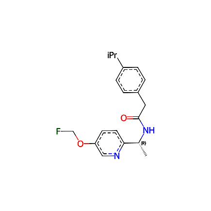 CC(C)c1ccc(CC(=O)N[C@H](C)c2ccc(OCF)cn2)cc1